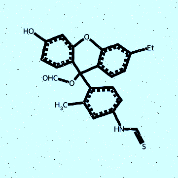 CCc1ccc2c(c1)Oc1cc(O)ccc1C2(OC=O)c1ccc(NC=S)cc1C